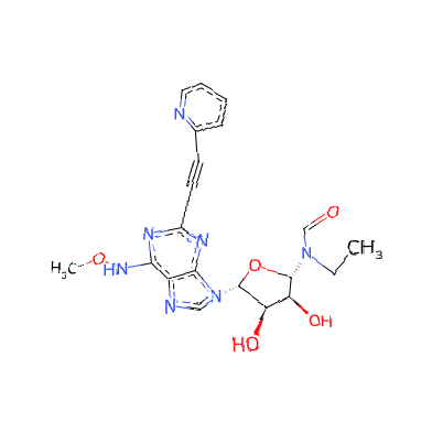 CCN(C=O)[C@H]1O[C@@H](n2cnc3c(NOC)nc(C#Cc4ccccn4)nc32)[C@H](O)[C@@H]1O